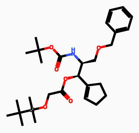 CC(C)(C)OC(=O)N[C@@H](COCc1ccccc1)[C@H](OC(=O)CO[Si](C)(C)C(C)(C)C)C1=CCCC1